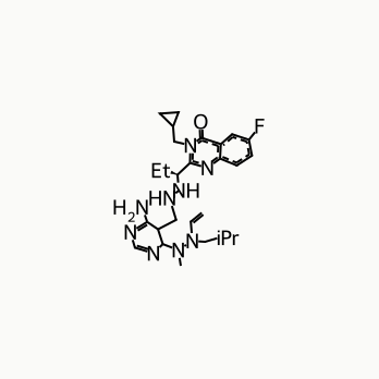 C=CN(CC(C)C)N(C)C1N=CN=C(N)C1CNN[C@@H](CC)c1nc2ccc(F)cc2c(=O)n1CC1CC1